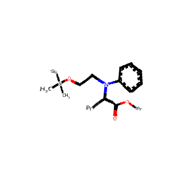 CC(C)OC(=O)C(C(C)C)N(CCO[Si](C)(C)C(C)(C)C)c1ccccc1